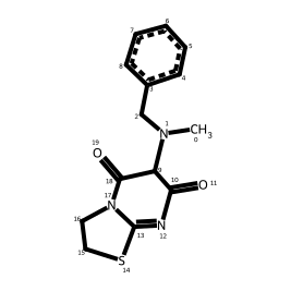 CN(Cc1ccccc1)C1C(=O)N=C2SCCN2C1=O